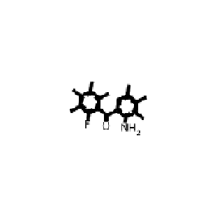 Cc1cc(C(=O)c2c(C)c(C)c(C)c(C)c2F)c(N)c(C)c1C